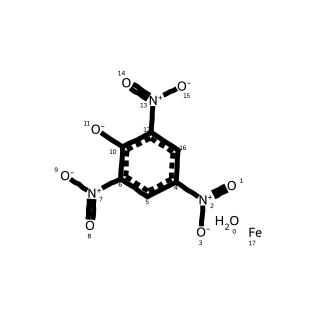 O.O=[N+]([O-])c1cc([N+](=O)[O-])c([O-])c([N+](=O)[O-])c1.[Fe]